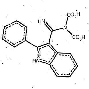 N=C(c1c(-c2ccccc2)[nH]c2ccccc12)N(C(=O)O)C(=O)O